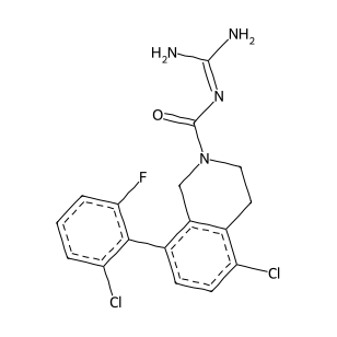 NC(N)=NC(=O)N1CCc2c(Cl)ccc(-c3c(F)cccc3Cl)c2C1